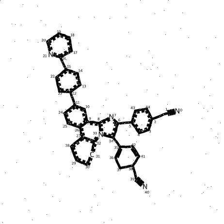 N#Cc1ccc(-c2nc3c4cc(-c5ccc(-c6ccccn6)cc5)ccc4c4ccccc4n3c2C2=CCC(C#N)C=C2)cc1